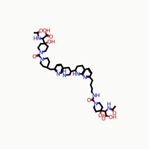 CC(=O)NC(C(=O)O)C1(O)CCN(C(=O)NCCCCc2ccc3c(n2)NC(C2CNc4nc(CC5CCN(C(=O)N6CCC(O)(C(NC(C)=O)C(=O)O)CC6)CC5)ccc4C2)CC3)CC1